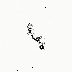 CNc1nc(Nc2cccc(F)c2)ncc1C#CCCCNC(=O)C1C[C@H](OC)CN1